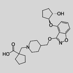 O=C(O)C1(CN2CCC(COc3noc4cccc(O[C@H]5CCC[C@@H]5O)c34)CC2)CCCC1